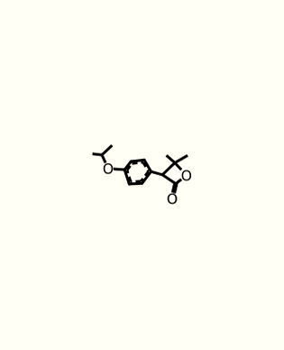 CC(C)Oc1ccc(C2C(=O)OC2(C)C)cc1